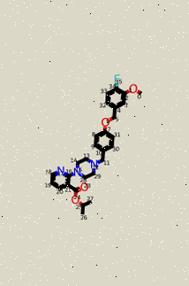 COc1cc(COc2ccc(CN3CCN(c4ncccc4C(=O)OC(C)C)CC3)cc2)ccc1F